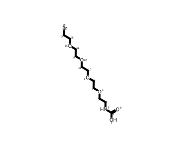 O=C(O)NCCOCCOCCOCCOCCBr